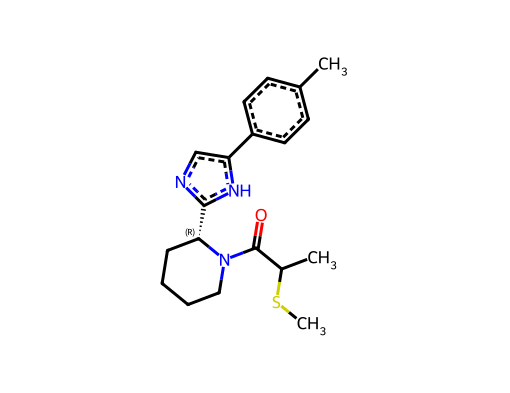 CSC(C)C(=O)N1CCCC[C@@H]1c1ncc(-c2ccc(C)cc2)[nH]1